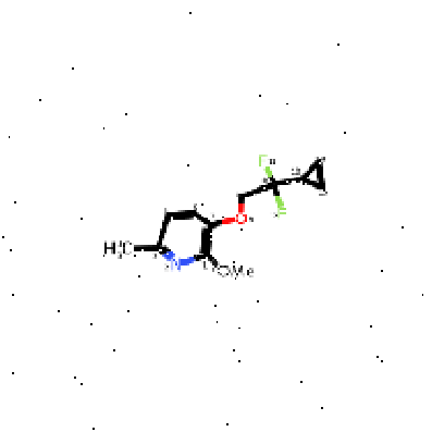 COc1nc(C)ccc1OCC(F)(F)C1CC1